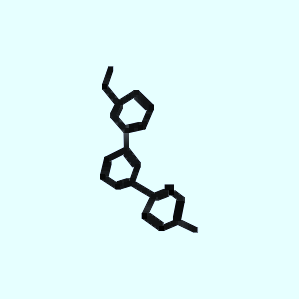 CCc1cccc(-c2cccc(-c3ccc(C)cn3)c2)c1